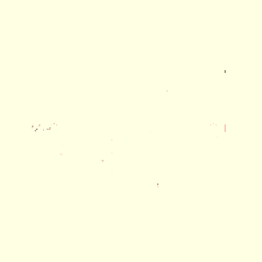 CCCC(O)Cc1cccc(COC)c1